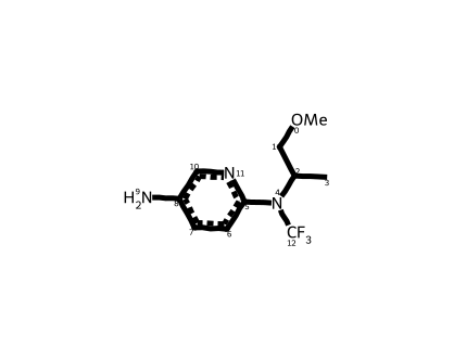 COCC(C)N(c1ccc(N)cn1)C(F)(F)F